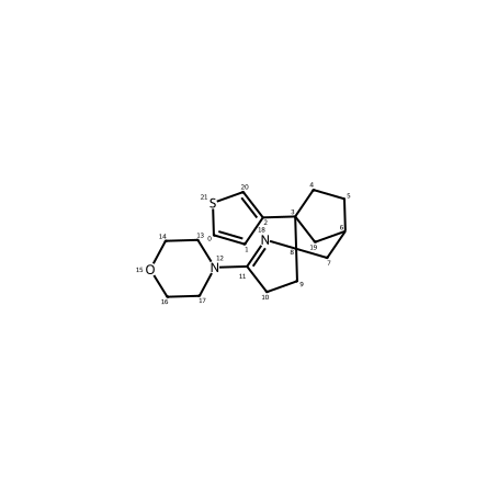 c1cc(C23CCC(CC24CCC(N2CCOCC2)=N4)C3)cs1